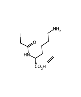 C=C.NCCCC[C@H](NC(=O)CI)C(=O)O